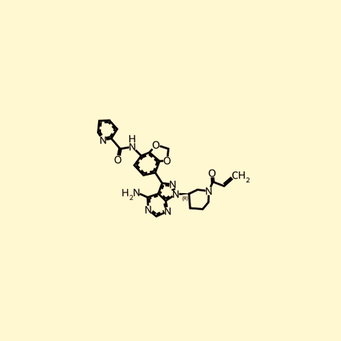 C=CC(=O)N1CCC[C@@H](n2nc(-c3ccc(NC(=O)c4ccccn4)c4c3OCO4)c3c(N)ncnc32)C1